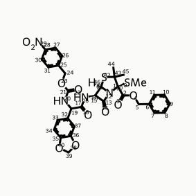 CS[C@@]1(C(=O)OCc2ccccc2)N2C(=O)[C@@H](NC(=O)C(NC(=O)OCc3ccc([N+](=O)[O-])cc3)c3ccc4c(c3)OCO4)[C@H]2SC1(C)C